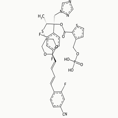 C[C@@H](S[C@H]1CO[C@H](/C=C/C=C/c2ccc(C#N)cc2F)OC1)[C@@](Cn1cncn1)(OC(=O)c1sccc1COP(=O)(O)O)c1ccc(F)cc1F